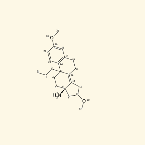 CCCC12CC[C@@]3(N)CC(OC)CC3=C1CCc1cc(OC)ccc12